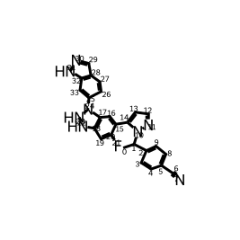 CC(c1ccc(C#N)cc1)n1nccc1-c1cc2c(cc1F)NNN2c1ccc2cn[nH]c2c1